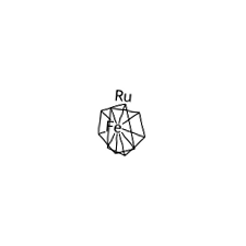 [CH]12[CH]3[CH]4[CH]5[CH]1[Fe]23451678[CH]2[CH]1[CH]6[CH]7[CH]28.[Ru]